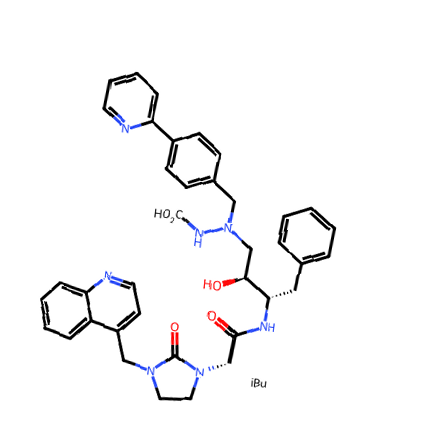 CC[C@H](C)[C@@H](C(=O)N[C@@H](Cc1ccccc1)[C@@H](O)CN(Cc1ccc(-c2ccccn2)cc1)NC(=O)O)N1CCN(Cc2ccnc3ccccc23)C1=O